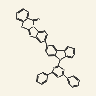 O=c1c2ccccc2sc2nc3cc(-c4ccc5c(c4)c4ccccc4n5-c4nc(-c5ccccc5)nc(-c5ccccc5)n4)ccc3n12